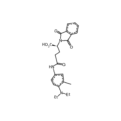 CCN(CC)c1ccc(NC(=O)CC[C@@H](C(=O)O)N2C(=O)c3ccccc3C2=O)cc1C